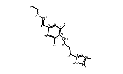 CCON=Cc1cc(C)c(OCCCc2cc(C)no2)c(C)c1